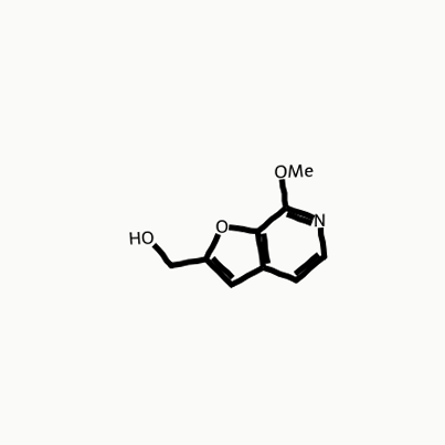 COc1nccc2cc(CO)oc12